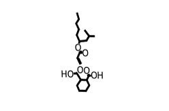 C=CC(=O)OC(CCCCC)CC(C)C.O=C(O)C1CCCCC1C(=O)O